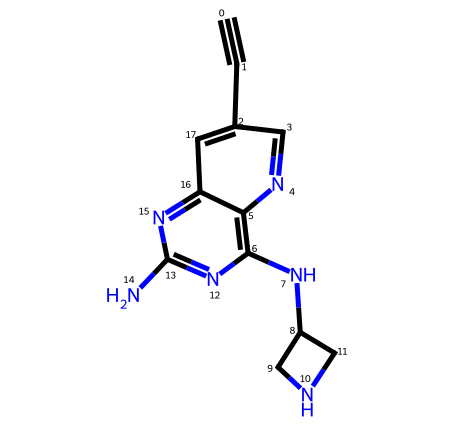 C#Cc1cnc2c(NC3CNC3)nc(N)nc2c1